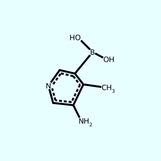 Cc1c(N)cncc1B(O)O